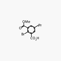 COC(=O)c1cc(C(C)C)cc(C(=O)O)c1Br